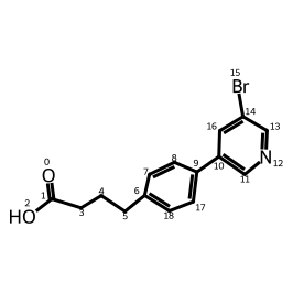 O=C(O)CCCc1ccc(-c2cncc(Br)c2)cc1